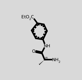 CCOC(=O)c1ccc(NC(=O)[C@@H](C)N)cc1